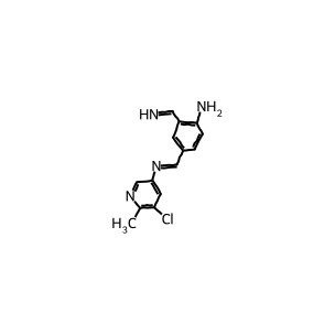 Cc1ncc(/N=C/c2ccc(N)c(C=N)c2)cc1Cl